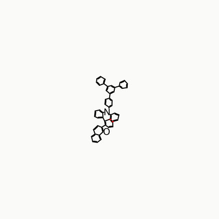 c1ccc(-c2cc(-c3ccccc3)cc(-c3ccc(N(c4ccccc4)c4ccccc4-c4cccc5oc6c7ccccc7ccc6c45)cc3)c2)cc1